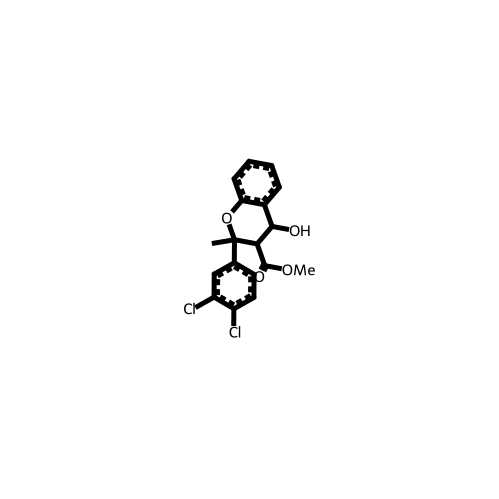 COC(=O)C1C(O)c2ccccc2OC1(C)c1ccc(Cl)c(Cl)c1